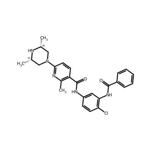 Cc1nc(N2C[C@@H](C)N[C@@H](C)C2)ccc1C(=O)Nc1ccc(Cl)c(NC(=O)c2ccccc2)c1